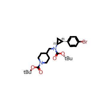 CC(C)(C)OC(=O)N1CCC(CN(C(=O)OC(C)(C)C)[C@H]2C[C@@H]2c2ccc(Br)cc2)CC1